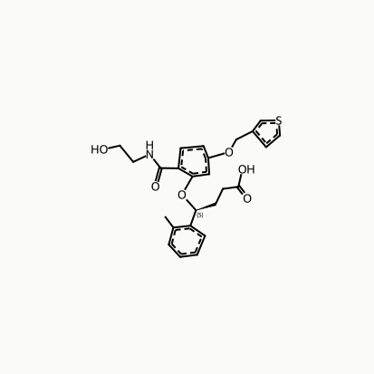 Cc1ccccc1[C@H](CCC(=O)O)Oc1cc(OCc2ccsc2)ccc1C(=O)NCCO